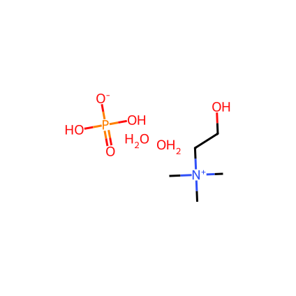 C[N+](C)(C)CCO.O.O.O=P([O-])(O)O